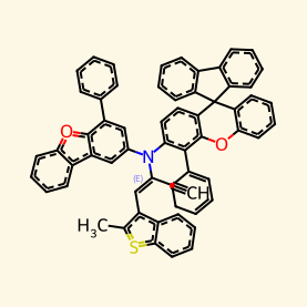 C#C/C(=C\c1c(C)sc2ccccc12)N(c1cc(-c2ccccc2)c2oc3ccccc3c2c1)c1ccc2c(c1C1=CC=CCC1)Oc1ccccc1C21c2ccccc2-c2ccccc21